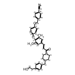 Cc1cc(C=CC(=O)N2CCN(Cc3ccc(CCO)cc3)CC2)cc(C)c1Oc1ccc(OCc2ccc(C#N)cc2)cn1